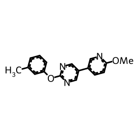 COc1ccc(-c2cnc(Oc3cccc(C)c3)nc2)cn1